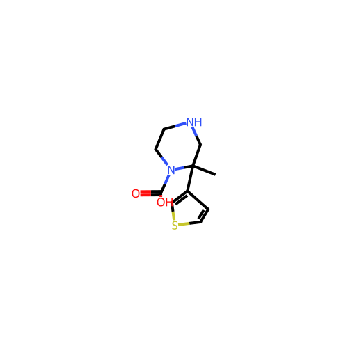 CC1(c2ccsc2)CNCCN1C(=O)O